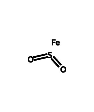 O=S=O.[Fe]